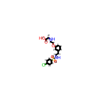 C[C@H](NCCOc1cccc(CCNS(=O)(=O)c2ccc(Cl)cc2)c1)C(=O)O